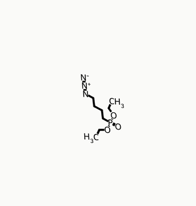 CCOP(=O)(CCCCN=[N+]=[N-])OCC